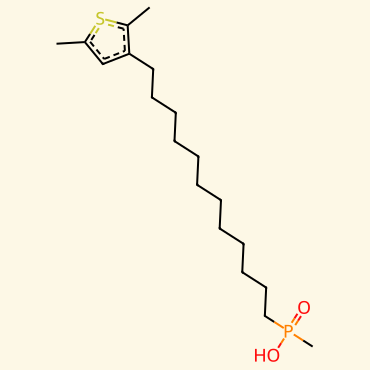 Cc1cc(CCCCCCCCCCCCP(C)(=O)O)c(C)s1